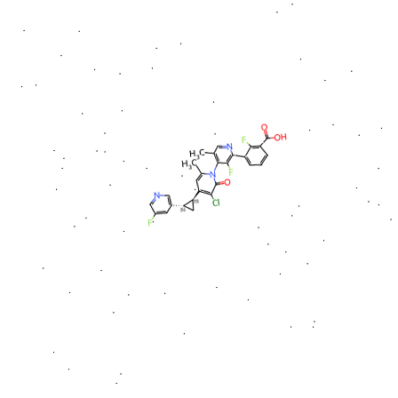 Cc1cnc(-c2cccc(C(=O)O)c2F)c(F)c1-n1c(C)cc([C@H]2C[C@@H]2c2cncc(F)c2)c(Cl)c1=O